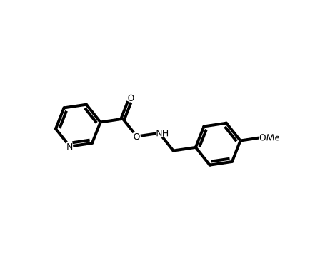 COc1ccc(CNOC(=O)c2cccnc2)cc1